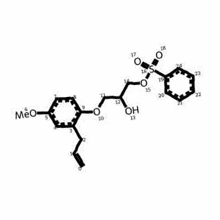 C=CCc1cc(OC)ccc1OCC(O)COS(=O)(=O)c1ccccc1